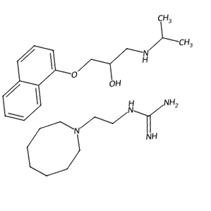 CC(C)NCC(O)COc1cccc2ccccc12.N=C(N)NCCN1CCCCCCC1